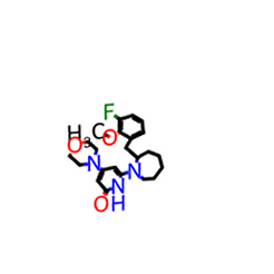 COc1c(F)cccc1CC1CCCCCN1c1cc(N2CCOCC2)cc(=O)[nH]1